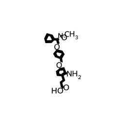 CO/N=C(\COc1ccc(COc2ccc(CCC(=O)O)c(N)c2)cc1)c1ccccc1